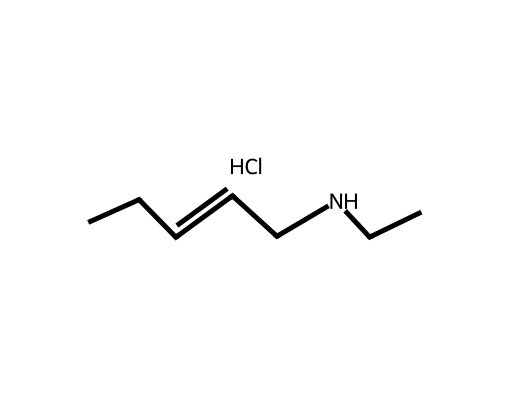 CCC=CCNCC.Cl